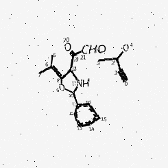 C#CC(C)[O].CC(C)=C1OC(c2ccccc2)NC1C(=O)C=O